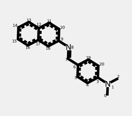 CN(C)c1ccc(C=Nc2ccc3ccccc3c2)cc1